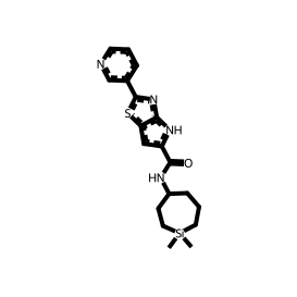 C[Si]1(C)CCCC(NC(=O)c2cc3sc(-c4cccnc4)nc3[nH]2)CC1